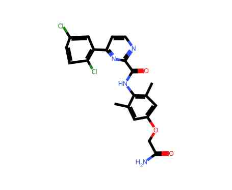 Cc1cc(OCC(N)=O)cc(C)c1NC(=O)c1nccc(-c2cc(Cl)ccc2Cl)n1